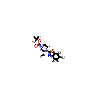 CC[C@@H]1CN(C(=O)OC(C)(C)C)CCN1c1nc2ccc(Cl)cc2s1